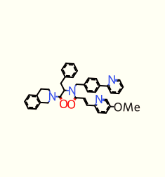 COc1ccc(C=CC(=O)N(Cc2ccc(-c3ccccn3)cc2)C(Cc2ccccc2)C(=O)N2CCc3ccccc3C2)nc1